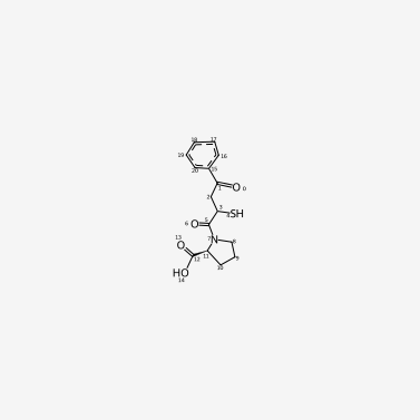 O=C(CC(S)C(=O)N1CCC[C@H]1C(=O)O)c1ccccc1